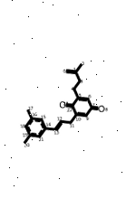 C=C(C)CCC1=CC(=O)C=C(CC=Cc2cc(C)cc(C)c2)C1=O